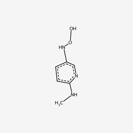 CNc1ccc(NOO)cn1